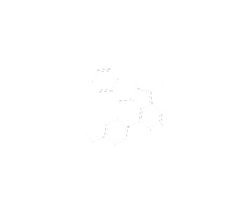 C=Cc1ccc(-c2nccc3c(C)c(C)n(Cc4ccccc4)c23)cc1